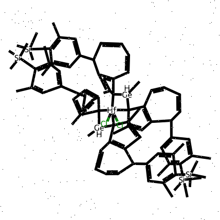 CC1=CC2=C(C=CC=CC2c2cc(C)c([Si](C)(C)C)c(C)c2)[C]12[GeH]([CH3])[C]1(C(C)=CC3=C1C=CC=CC3c1cc(C)c([Si](C)(C)C)c(C)c1)[Hf]21([Cl])([Cl])[C]2(C(C)=CC3=C2C=CC=CC3c2cc(C)c([Si](C)(C)C)c(C)c2)[GeH]([CH3])[C]12C(C)=CC1=C2C=CC=CC1c1cc(C)c([Si](C)(C)C)c(C)c1